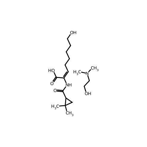 CC1(C)CC1C(=O)N/C(=C/CCCCCO)C(=O)O.CN(C)CCO